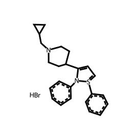 Br.C1=C(C2CCN(CC3CC3)CC2)N(c2ccccc2)S(c2ccccc2)=C1